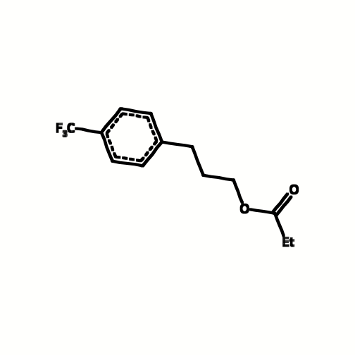 CCC(=O)OCCCc1ccc(C(F)(F)F)cc1